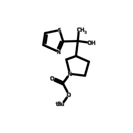 CC(C)(C)OC(=O)N1CCC(C(C)(O)c2nccs2)C1